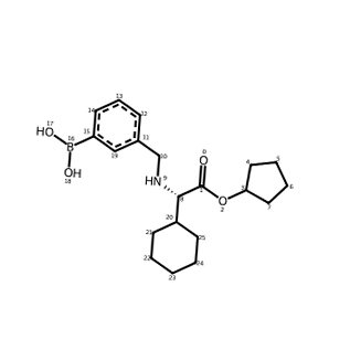 O=C(OC1CCCC1)[C@@H](NCc1cccc(B(O)O)c1)C1CCCCC1